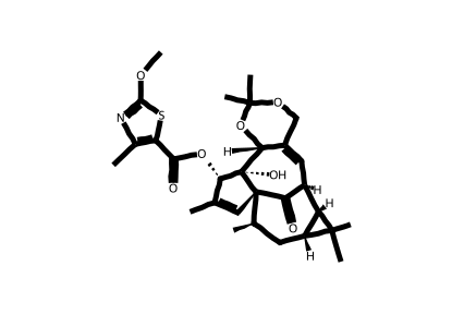 COc1nc(C)c(C(=O)O[C@H]2C(C)=C[C@]34C(=O)[C@@H](C=C5COC(C)(C)O[C@H]5[C@]23O)[C@H]2[C@@H](C[C@H]4C)C2(C)C)s1